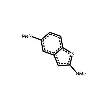 CNc1ccc2sc(NC)cc2c1